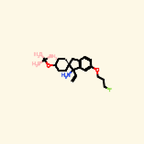 BC(B)(B)O[C@H]1CC[C@]2(CC1)Cc1ccc(OCCCF)cc1C2(N)C=C